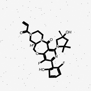 C=CC(=O)N1CCN2C(=O)c3c(N4C[C@](C)(O)CC4(C)C)nc(-c4c(O)cccc4F)c(F)c3OC[C@H]2C1